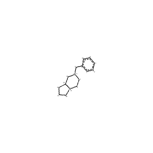 c1cncc(CN2CCN3CCCC3C2)c1